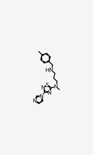 Cc1ccc(CNCCCN(C)c2nc(-n3ccnc3)ns2)cc1